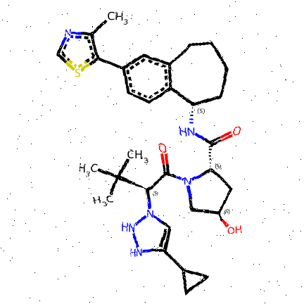 Cc1ncsc1-c1ccc2c(c1)CCCC[C@@H]2NC(=O)[C@@H]1C[C@@H](O)CN1C(=O)[C@@H](N1C=C(C2CC2)NN1)C(C)(C)C